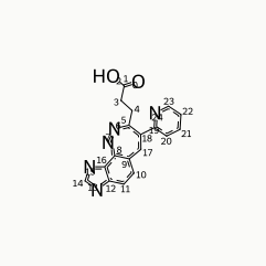 O=C(O)CCc1nnc2c(ccc3ncnc32)cc1-c1ccccn1